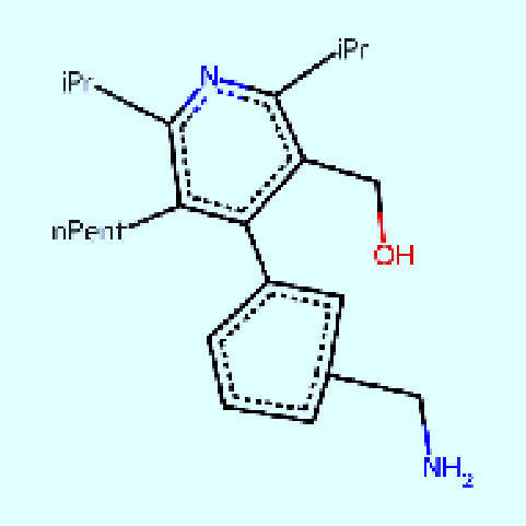 CCCCCc1c(C(C)C)nc(C(C)C)c(CO)c1-c1cccc(CN)c1